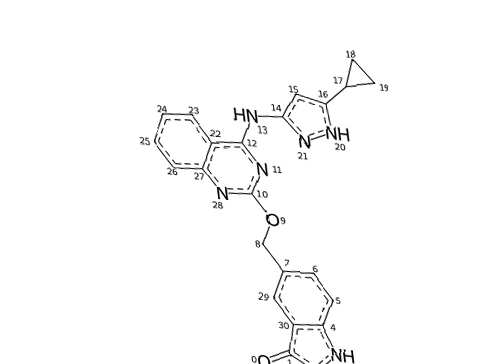 O=c1[nH][nH]c2ccc(COc3nc(Nc4cc(C5CC5)[nH]n4)c4ccccc4n3)cc12